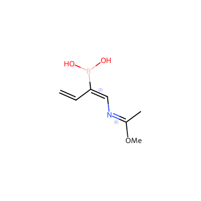 C=C/C(=C\N=C(/C)OC)B(O)O